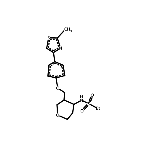 CCS(=O)(=O)NC1CCOCC1COc1ccc(-c2csc(C)n2)cc1